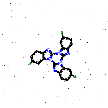 Fc1ccc2nc3n(c2c1)c1nc2ccc(F)cc2n1c1nc2ccc(F)cc2n31